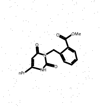 CCCc1cc(=O)n(Cc2ccccc2C(=O)OC)c(=O)[nH]1